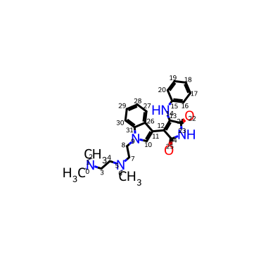 CN(C)CCN(C)CCn1cc(C2=C(Nc3ccccc3)C(=O)NC2=O)c2ccccc21